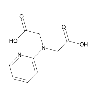 O=C(O)CN(CC(=O)O)c1ccccn1